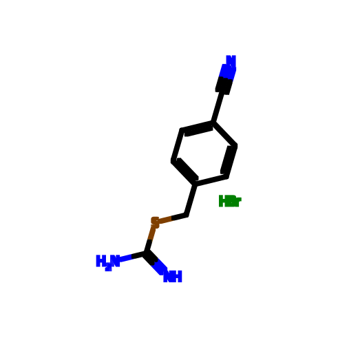 Br.N#Cc1ccc(CSC(=N)N)cc1